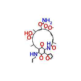 C=CCNC1=C2CC(C)CC(OC)C(O)C(C)C=C(C)C(OC(N)=O)C(OC)C=CC=C(C)C(=O)NC(=C(c3ccco3)C1=O)C2=O